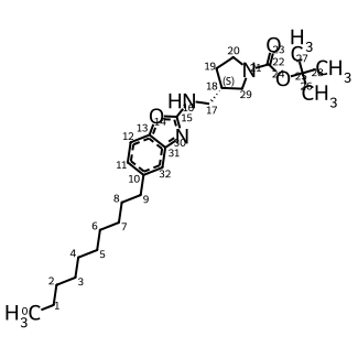 CCCCCCCCCCc1ccc2oc(NC[C@@H]3CCN(C(=O)OC(C)(C)C)C3)nc2c1